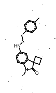 Cc1ccc(CSNc2ccc3c(c2)C2(CCC2)C(=O)N3C)cc1